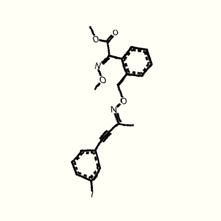 CO/N=C(/C(=O)OC)c1ccccc1CO/N=C(\C)C#Cc1cccc(I)c1